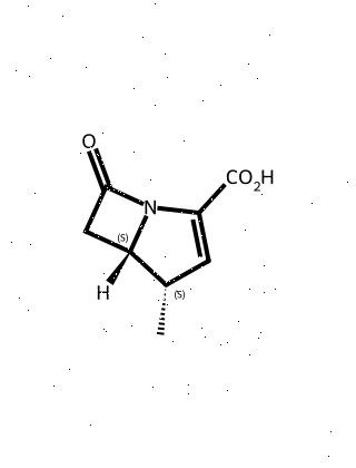 C[C@H]1C=C(C(=O)O)N2C(=O)C[C@@H]12